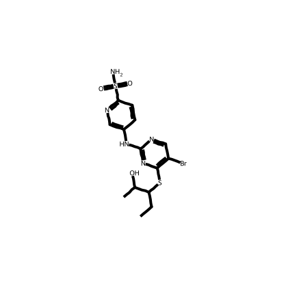 CCC(Sc1nc(Nc2ccc(S(N)(=O)=O)nc2)ncc1Br)C(C)O